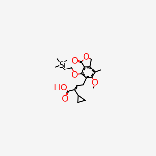 COc1c(C)c2c(c(OCC[Si](C)(C)C)c1C/C=C(/C(=O)O)C1CC1)C(=O)OC2